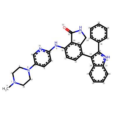 CN1CCN(c2ccc(Nc3ccc(-c4c(-c5ccccc5)[nH]c5ccccc45)c4c3C(=O)NC4)nc2)CC1